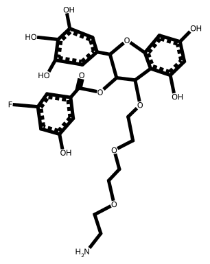 NCCOCCOCCOC1c2c(O)cc(O)cc2OC(c2cc(O)c(O)c(O)c2)C1OC(=O)c1cc(O)cc(F)c1